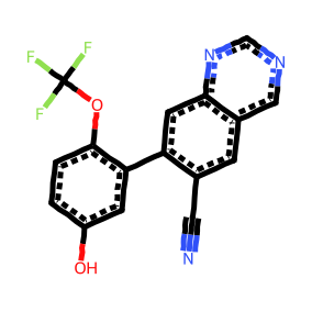 N#Cc1cc2cncnc2cc1-c1cc(O)ccc1OC(F)(F)F